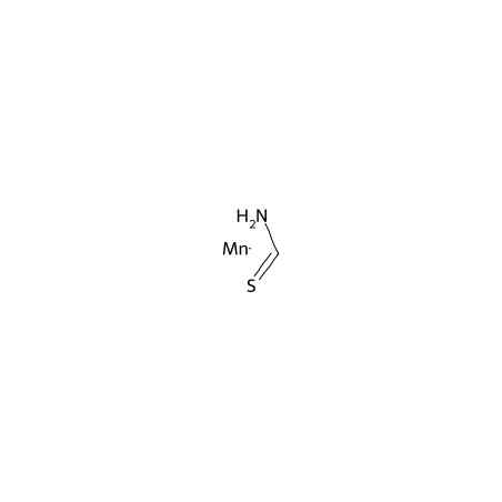 NC=S.[Mn]